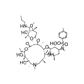 CCCNC[C@]1(O)[C@H](C)O[C@@H](O[C@H]2[C@H](C)[C@@H](O[C@@H]3O[C@H](C)C[C@H](N(C)S(=O)(=O)c4ccc(C)cc4)[C@H]3O)[C@](C)(O)C[C@@H](C)CN(C)[C@H](C)[C@@H](O)[C@](C)(O)[C@@H](CC)OC(=O)[C@@H]2C)C[C@@]1(C)OC